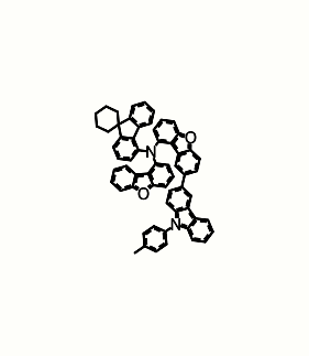 Cc1ccc(-n2c3ccccc3c3cc(-c4ccc5oc6cccc(N(c7cccc8c7-c7ccccc7C87CCCCC7)c7cccc8oc9ccccc9c78)c6c5c4)ccc32)cc1